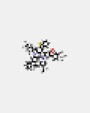 CC(C)(C)c1ccc(N2B3c4cc5c(cc4-n4c6ccc(C(C)(C)C)cc6c6c7sc8ccccc8c7c(c3c64)-c3cc4oc6cc(C(C)(C)C)ccc6c4cc32)-c2ccccc2C5(C)C)cc1